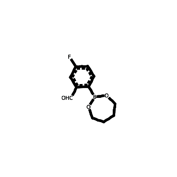 O=Cc1cc(F)ccc1B1OCCCCO1